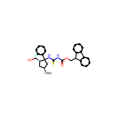 CO[C@H]1C[C@@H](CO)C(NC(=S)NC(=O)OCC2c3ccccc3-c3ccccc32)(c2ccccc2F)C1